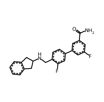 NC(=O)c1cc(F)cc(-c2ccc(CNC3Cc4ccccc4C3)c(F)c2)c1